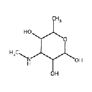 CNC1C(O)C(C)OC(O)C1O